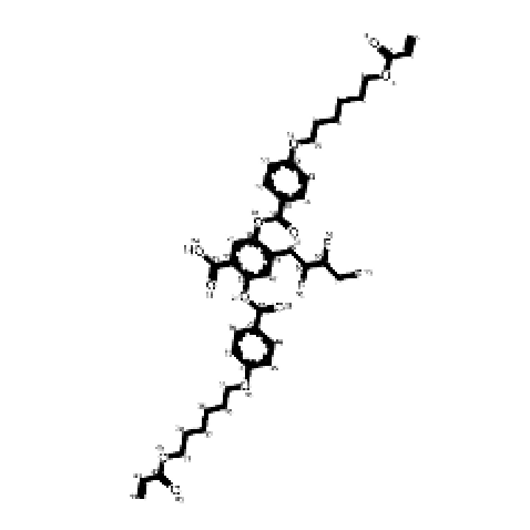 C=CC(=O)OCCCCCCOc1ccc(C(=O)Oc2cc(C(=O)O)c(OC(=O)c3ccc(OCCCCCCOC(=O)C=C)cc3)cc2CC(F)C(F)CF)cc1